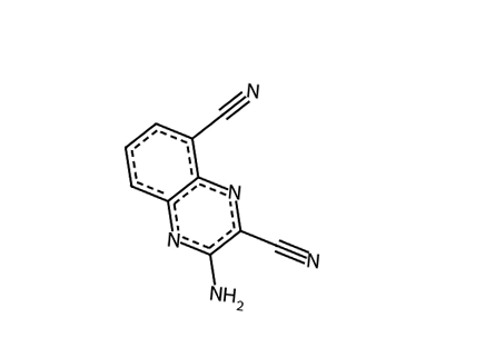 N#Cc1nc2c(C#N)cccc2nc1N